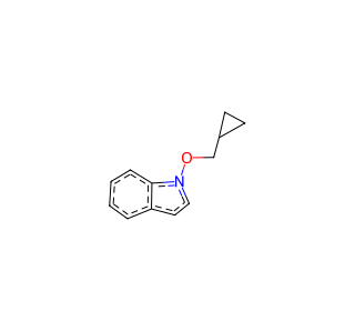 c1ccc2c(c1)ccn2OCC1CC1